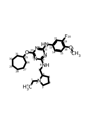 CCN1CCCC1CNc1nc(Nc2ccc(OC)c(F)c2)nc(OC2CCCCCC2)n1